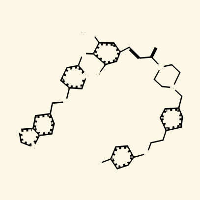 COc1cc(C=CC(=O)N2CCN(Cc3ccc(CCOc4ccc(F)cc4)cc3)CC2)cc(OC)c1Oc1ccc(OCc2ccc3ncsc3c2)cn1